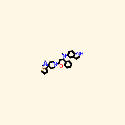 CN(c1ccc2[nH]ccc2c1)C(CC(=O)N1CCC(c2cccs2)(N(C)C)CC1)c1ccccc1